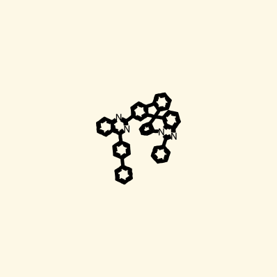 c1ccc(-c2ccc(-c3nc(-c4ccc5c(c4)C4(c6ccccc6-5)c5ccccc5-n5c(-c6ccccc6)nc6cccc4c65)nc4ccccc34)cc2)cc1